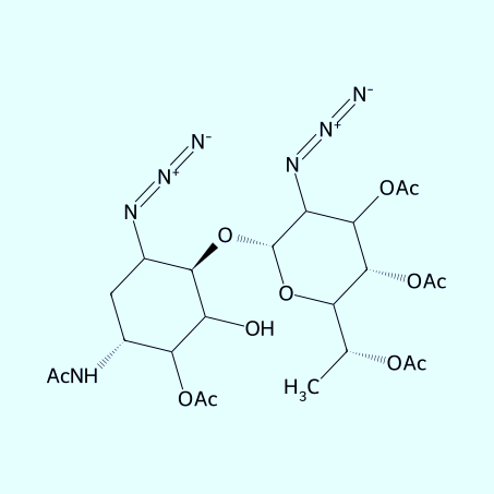 CC(=O)N[C@@H]1CC(N=[N+]=[N-])[C@@H](O[C@H]2OC([C@@H](C)OC(C)=O)[C@@H](OC(C)=O)C(OC(C)=O)C2N=[N+]=[N-])C(O)C1OC(C)=O